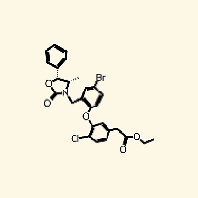 CCOC(=O)Cc1ccc(Cl)c(Oc2ccc(Br)cc2CN2C(=O)O[C@H](c3ccccc3)[C@@H]2C)c1